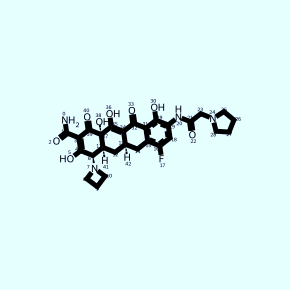 NC(=O)C1=C(O)[C@@H](N2CCC2)[C@@H]2C[C@@H]3Cc4c(F)cc(NC(=O)CN5CCCC5)c(O)c4C(=O)C3=C(O)[C@]2(O)C1=O